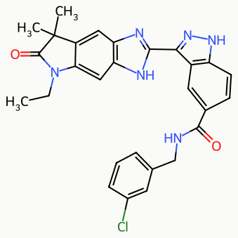 CCN1C(=O)C(C)(C)c2cc3nc(-c4n[nH]c5ccc(C(=O)NCc6cccc(Cl)c6)cc45)[nH]c3cc21